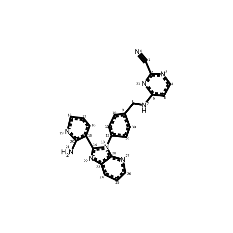 N#Cc1nccc(NCc2ccc(-n3c(-c4cccnc4N)nc4cccnc43)cc2)n1